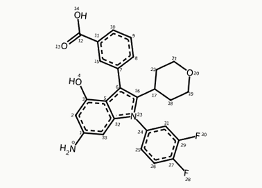 Nc1cc(O)c2c(-c3cccc(C(=O)O)c3)c(C3CCOCC3)n(-c3ccc(F)c(F)c3)c2c1